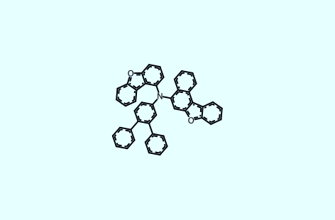 c1ccc(-c2ccc(N(c3cc4oc5ccccc5c4c4ccccc34)c3cccc4oc5ccccc5c34)cc2-c2ccccc2)cc1